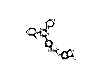 CC1COCCN1c1nc(-c2ccc(NC(=O)Nc3ccc4c(c3)COC4=O)cc2)nc(N2CCOCC2)n1